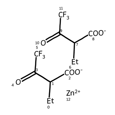 CCC(C(=O)[O-])C(=O)C(F)(F)F.CCC(C(=O)[O-])C(=O)C(F)(F)F.[Zn+2]